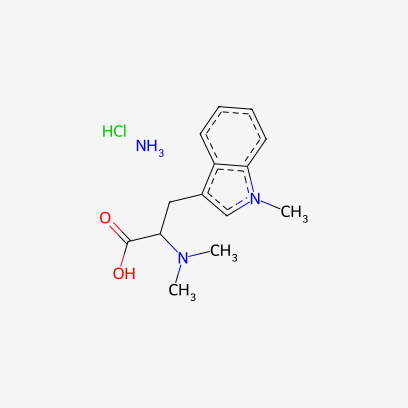 CN(C)C(Cc1cn(C)c2ccccc12)C(=O)O.Cl.N